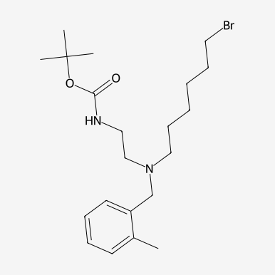 Cc1ccccc1CN(CCCCCCBr)CCNC(=O)OC(C)(C)C